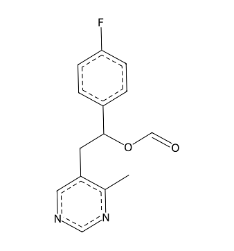 Cc1ncncc1CC(OC=O)c1ccc(F)cc1